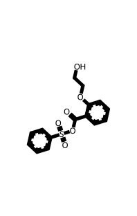 O=C(OS(=O)(=O)c1ccccc1)c1ccccc1OCCO